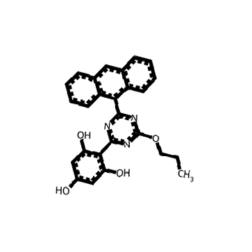 CCCOc1nc(-c2c(O)cc(O)cc2O)nc(-c2c3ccccc3cc3ccccc23)n1